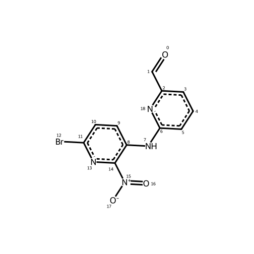 O=Cc1cccc(Nc2ccc(Br)nc2[N+](=O)[O-])n1